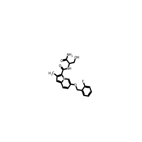 Cc1cc2ccc(OCc3ccccc3F)cn2c1C(=O)NC(CO)C(N)=O